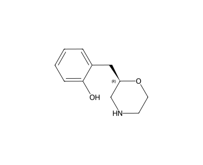 Oc1ccccc1C[C@@H]1CNCCO1